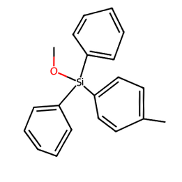 CO[Si](c1ccccc1)(c1ccccc1)c1ccc(C)cc1